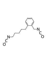 O=C=NCCCCCc1ccccc1CN=C=O